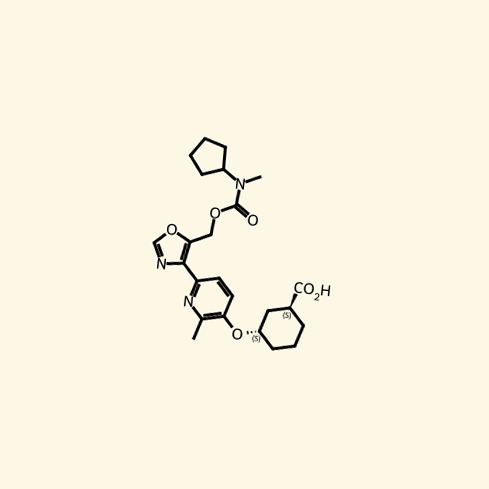 Cc1nc(-c2ncoc2COC(=O)N(C)C2CCCC2)ccc1O[C@H]1CCC[C@H](C(=O)O)C1